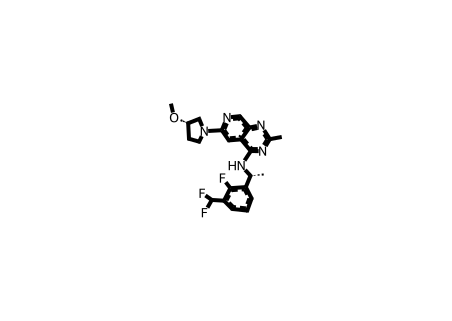 CO[C@H]1CCN(c2cc3c(N[C@H](C)c4cccc(C(F)F)c4F)nc(C)nc3cn2)C1